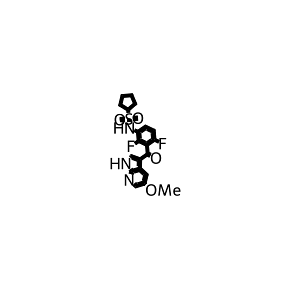 COc1cnc2[nH]cc(C(=O)c3c(F)ccc(NS(=O)(=O)C4CCCC4)c3F)c2c1